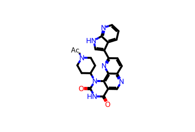 CC(=O)N1CCC(n2c(=O)[nH]c(=O)c3cnc4ccc(-c5c[nH]c6ncccc56)nc4c32)CC1